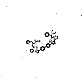 CCN(CC)C(C(=O)N1CCCC1c1ncc(-c2ccc(-c3ccc(-c4cnc([C@@H]5CCCN5C(=O)C[C@@H](Cc5cccs5)OC(N)=O)[nH]4)cc3)cc2)[nH]1)c1ccccc1